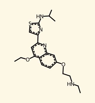 CCNCCOc1ccc2c(OCC)cc(-c3csc(NC(C)C)n3)nc2c1